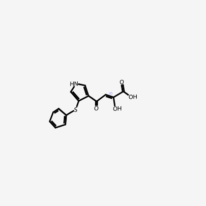 O=C(O)/C(O)=C/C(=O)c1c[nH]cc1Sc1ccccc1